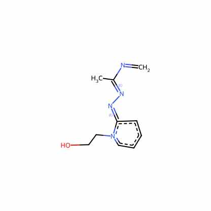 C=N/C(C)=N/N=c1\ccccn1CCO